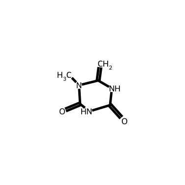 C=C1NC(=O)NC(=O)N1C